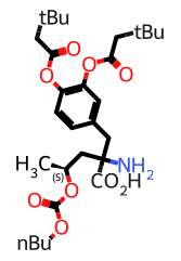 CCCCOC(=O)O[C@@H](C)CC(N)(Cc1ccc(OC(=O)CC(C)(C)C)c(OC(=O)CC(C)(C)C)c1)C(=O)O